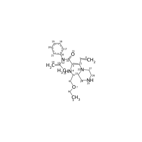 C=C/C(=C(/NCCOCC)C(=O)N(C(=C)C)c1ccccc1)N1CCNCC1